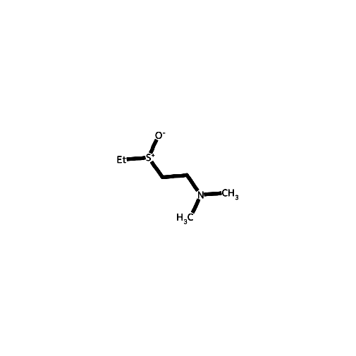 CC[S+]([O-])CCN(C)C